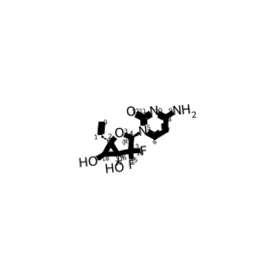 C=C[C@]12O[C@@H](n3ccc(N)nc3=O)C(F)(F)[C@@]1(O)C2O